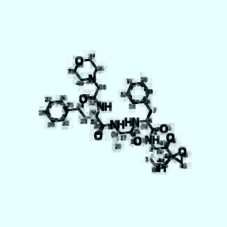 CC(C)C[C@H](NC(=O)[C@H](Cc1ccccc1)NC(=O)[C@H](C)NC(=O)[C@H](CCc1ccccc1)NC(=O)CN1CCOCC1)C(=O)[C@@]1(C)CO1